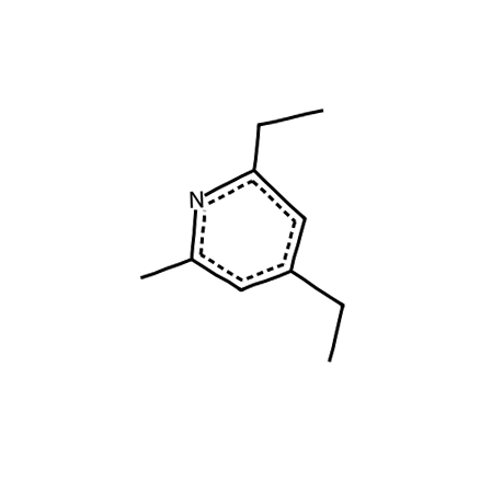 CCc1cc(C)nc(CC)c1